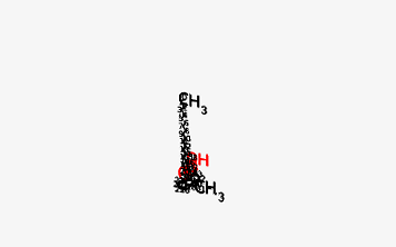 CCCCCCCCCCCCCCCCC(CC(=O)Oc1c2ccccc2cc2c(C)cccc12)C(=O)O